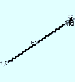 CCCCCCCCCCCCCCCCCCNCCCCCCCCCCCCCCCCCC.Cl.FC1C(F)(F)C1(F)F